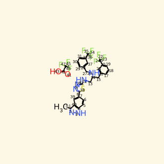 Cc1n[nH]c2ccc(-c3nnc(NCC(Cc4cccc(C(F)(F)F)c4)NCc4cccc(C(F)(F)F)c4)s3)cc12.O=C(O)C(F)(F)F